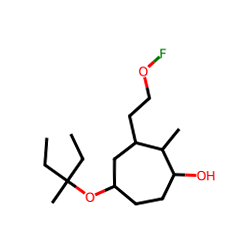 CCC(C)(CC)OC1CCC(O)C(C)C(CCOF)C1